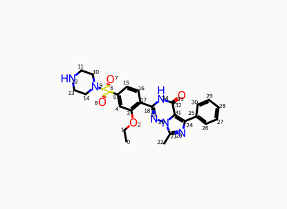 CCOc1cc(S(=O)(=O)N2CCNCC2)ccc1-c1nn2c(C)nc(-c3ccccc3)c2c(=O)[nH]1